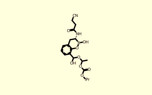 CC(C)OC(=O)OC(C)OC(O)c1cccc2c1OB(O)[C@@H](NC(=O)CCC#N)C2